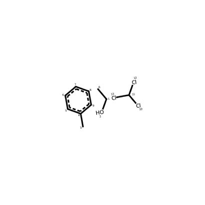 CCO.Cc1ccccc1.ClC(Cl)Cl